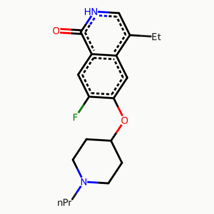 CCCN1CCC(Oc2cc3c(CC)c[nH]c(=O)c3cc2F)CC1